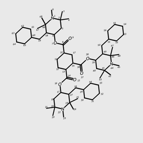 CN1C(C)(C)CC(OC(=O)C2CCC(C(=O)OC3CC(C)(C)N(C)C(C)(C)C3CC3CCCCC3)C(C(=O)OC3CC(C)(C)N(C)C(C)(C)C3CC3CCCCC3)C2)C(CC2CCCCC2)C1(C)C